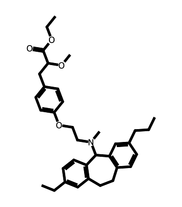 CCCc1ccc2c(c1)C(N(C)CCOc1ccc(CC(OC)C(=O)OCC)cc1)c1ccc(CC)cc1CC2